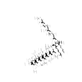 CCCCCC(=O)O.CCCCCCCC(=O)O.OCC(O)CO.OCC(O)CO.OCC(O)CO.OCC(O)CO.OCC(O)CO.OCC(O)CO.OCC(O)CO.OCC(O)CO.OCC(O)CO.OCC(O)CO